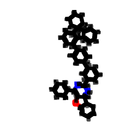 C1=CCC2C(=C1)Oc1c(-c3ccccc3)nc(-c3cccc(-c4ccc(-c5cccc6c5-c5ccccc5C65CCCCC5)cc4)c3)nc12